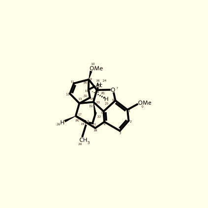 COc1ccc2c3c1O[C@H]1[C@@]4(OC)C=CC5(C[C@@H]4C(C)=O)[C@@H](C2)N(C)CC[C@]315